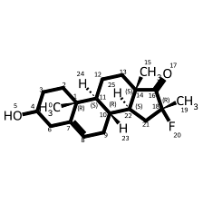 C[C@]12CCC(O)CC1=CC[C@@H]1[C@@H]2CC[C@]2(C)C(=O)[C@](C)(F)C[C@@H]12